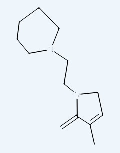 CC1=CCN(CCN2CCCCC2)C1=O